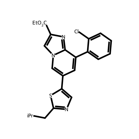 CCOC(=O)c1cn2cc(-c3cnc(CC(C)C)s3)cc(-c3ccccc3Cl)c2n1